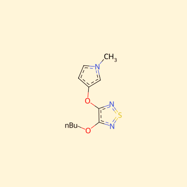 CCCCOc1nsnc1Oc1ccn(C)c1